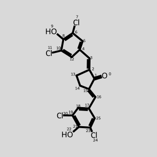 O=C1C(=Cc2cc(Cl)c(O)c(Cl)c2)CCC1=Cc1cc(Cl)c(O)c(Cl)c1